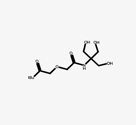 CC(C)(C)C(=O)COCC(=O)NC(CO)(CO)CO